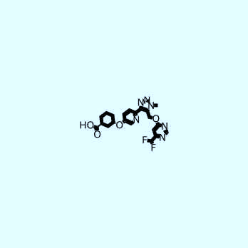 Cn1nnc(-c2ccc(O[C@H]3CCC[C@H](C(=O)O)C3)cn2)c1COc1cc(C(F)F)ncn1